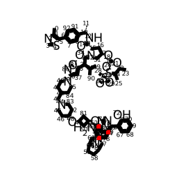 Cc1ncsc1-c1ccc([C@H](C)NC(=O)[C@@H]2C[C@@H](OC(=O)OC(C)C(C)SS(C)(=O)=O)CN2C(=O)C(c2cc(N3CCC(CN4CCC(O[C@H]5C[C@H](Oc6cc(N7C8CCC7CN(c7cc(-c9ccccc9O)nnc7N)C8)ccn6)C5)CC4)CC3)no2)C(C)C)cc1